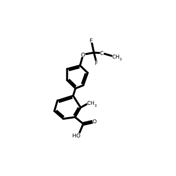 CCC(F)(F)Oc1ccc(-c2cccc(C(=O)O)c2C)cc1